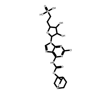 O=C(Nc1nc(Cl)nc2c1ncn2C1OC(CCP(=O)(O)O)C(O)C1O)OC1CN2CCC1CC2